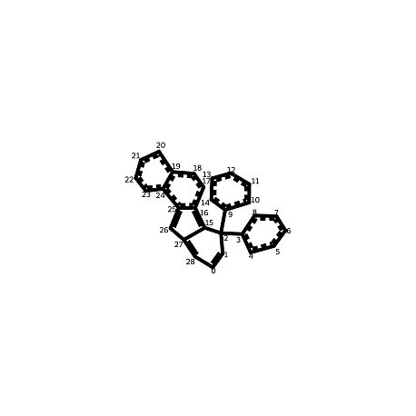 C1=CC(c2ccccc2)(c2ccccc2)C2=c3ccc4ccccc4c3=CC2=C1